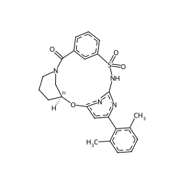 Cc1cccc(C)c1-c1cc2nc(n1)NS(=O)(=O)c1cccc(c1)C(=O)N1CCC[C@@H](C1)O2